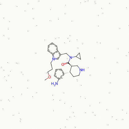 COCCCn1cc(CN(C(=O)[C@H]2CNCC[C@@H]2c2cccc(N)c2)C2CC2)c2ccccc21